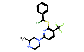 C[C@H]1CN(c2ccc(C(F)(F)F)c(SC(Cl)c3ccccc3)n2)CCN1